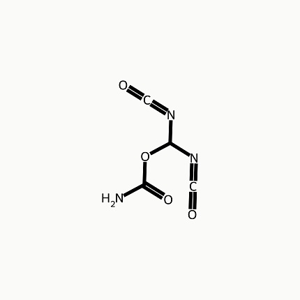 NC(=O)OC(N=C=O)N=C=O